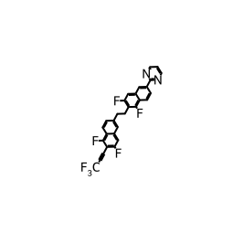 Fc1cc2cc(CCc3c(F)cc4cc(-c5ncccn5)ccc4c3F)ccc2c(F)c1C#CC(F)(F)F